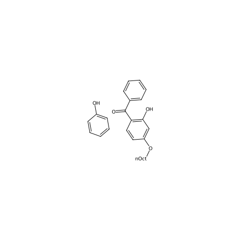 CCCCCCCCOc1ccc(C(=O)c2ccccc2)c(O)c1.Oc1ccccc1